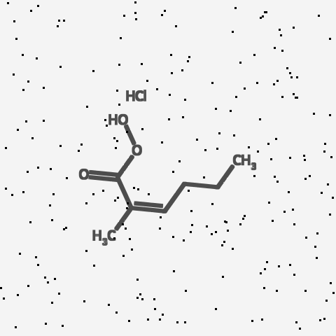 CCCC=C(C)C(=O)OO.Cl